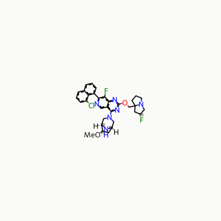 CO[C@@H]1C[C@@H]2CN(c3nc(OCC45CCCN4C[C@H](F)C5)nc4c(F)c(-c5cccc6cccc(Cl)c56)ncc34)C[C@H]1N2